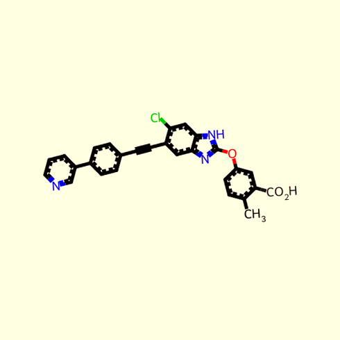 Cc1ccc(Oc2nc3cc(C#Cc4ccc(-c5cccnc5)cc4)c(Cl)cc3[nH]2)cc1C(=O)O